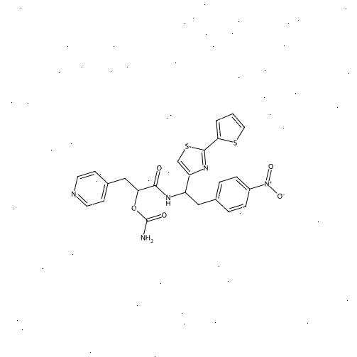 NC(=O)OC(Cc1ccncc1)C(=O)NC(Cc1ccc([N+](=O)[O-])cc1)c1csc(-c2cccs2)n1